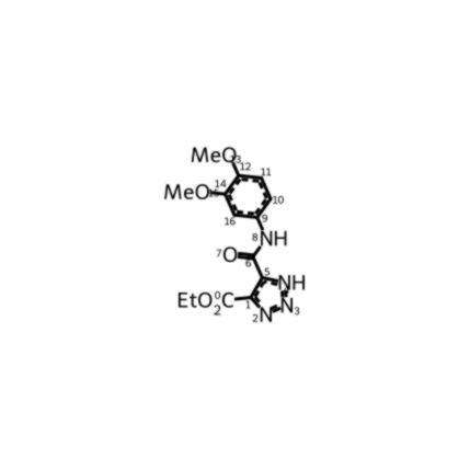 CCOC(=O)c1nn[nH]c1C(=O)Nc1ccc(OC)c(OC)c1